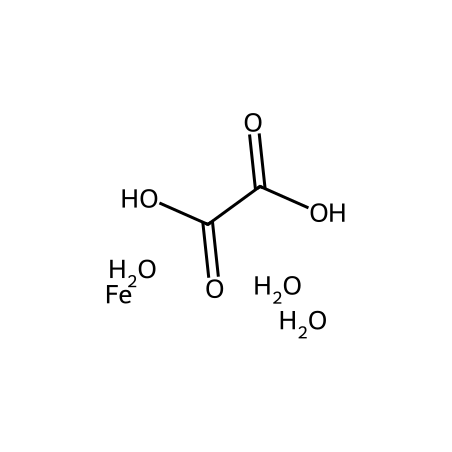 O.O.O.O=C(O)C(=O)O.[Fe]